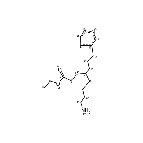 CCOC(=O)CSC(CCCCN)CCCc1cccnc1